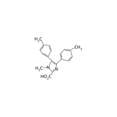 Cc1ccc(-c2nc(C(=O)O)n(C)c2-c2ccc(C)cc2)cc1